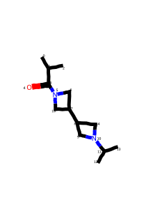 CC(C)C(=O)N1CC(C2CN(C(C)C)C2)C1